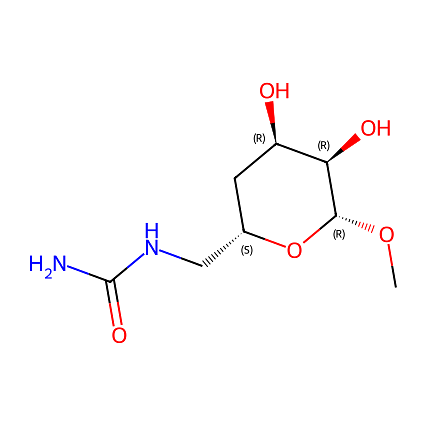 CO[C@@H]1O[C@H](CNC(N)=O)C[C@@H](O)[C@H]1O